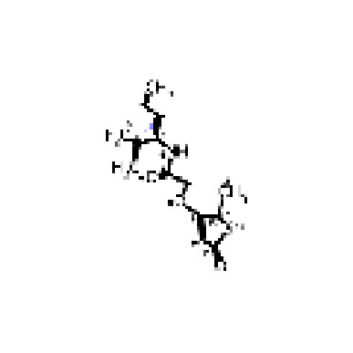 C=C/C=C(/NC(=O)COC1=CC(=O)S[C@@H]1C)C(=C)C(F)(F)F